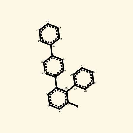 Cc1cccc(-c2ccc(-c3ccccc3)cn2)c1-c1ccccc1